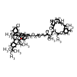 CCOc1cc(C(C)(C)C)ccc1C1=N[C@](C)(c2ccc(Cl)cc2)[C@](C)(c2ccc(Cl)cc2)N1C(=O)N1CCN(CCOCCOCCC(=O)N(C)CCN2C[C@H](C)Oc3ccc(F)cc3[C@H](C)Nc3ccn4ncc(c4n3)C2=O)CC1